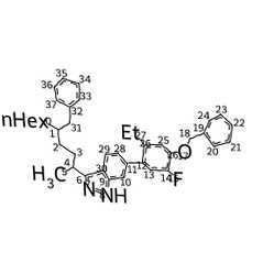 CCCCCCC(CCC(C)c1n[nH]c2cc(-c3cc(F)c(OCc4ccccc4)cc3CC)ccc12)Cc1ccccc1